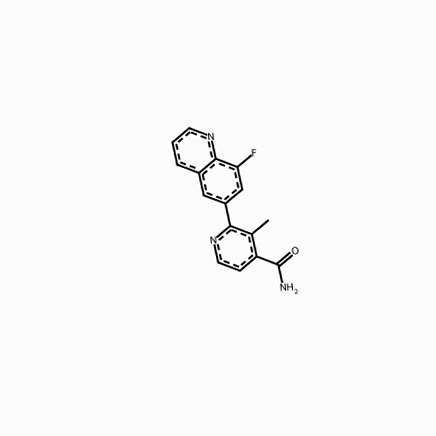 Cc1c(C(N)=O)ccnc1-c1cc(F)c2ncccc2c1